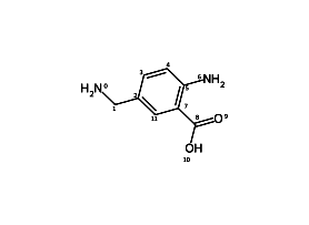 NCc1ccc(N)c(C(=O)O)c1